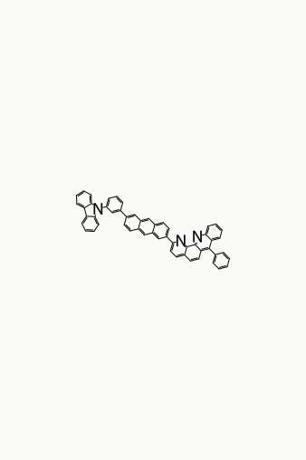 c1ccc(-c2c3ccccc3nc3c2ccc2ccc(-c4ccc5cc6cc(-c7cccc(-n8c9ccccc9c9ccccc98)c7)ccc6cc5c4)nc23)cc1